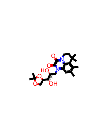 Cc1cc2c3c(c1C)C(C)(C)CCn3c(=O)c(=O)n2C[C@H](O)[C@H](O)C1COC(C)(C)O1